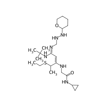 CCSC(C)/C(=C\C(=N/CNNC1CCCCO1)NC(C)(C)C)NCC(=O)NC1CC1